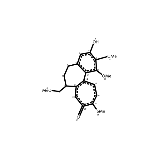 COCC1CCc2cc(O)c(OC)c(OC)c2-c2ccc(SC)c(=O)cc21